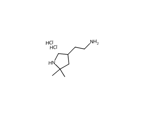 CC1(C)CC(CCN)CN1.Cl.Cl